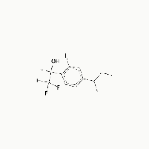 CCC(C)c1ccc(C(C)(O)C(F)(F)F)c(I)c1